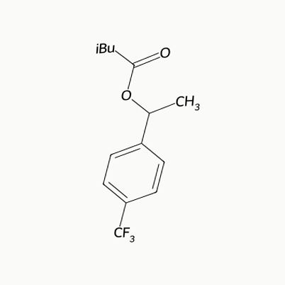 CCC(C)C(=O)OC(C)c1ccc(C(F)(F)F)cc1